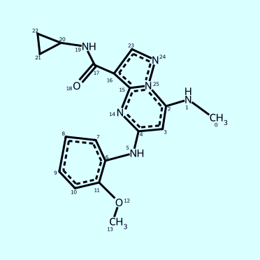 CNc1cc(Nc2ccccc2OC)nc2c(C(=O)NC3CC3)cnn12